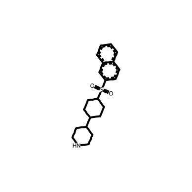 O=S(=O)(c1ccc2ccccc2c1)C1CCC(C2CCNCC2)CC1